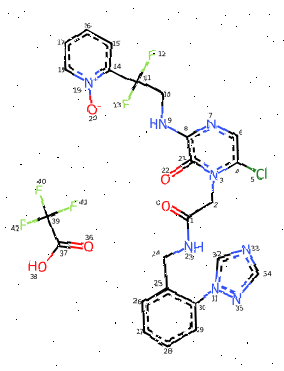 O=C(Cn1c(Cl)cnc(NCC(F)(F)c2cccc[n+]2[O-])c1=O)NCc1ccccc1-n1cncn1.O=C(O)C(F)(F)F